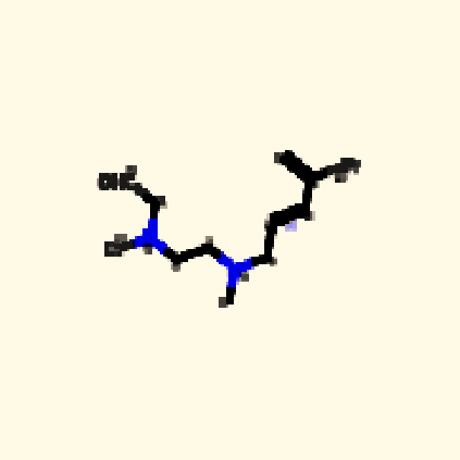 C=C(/C=C/CN(C)CCN(CC)CC=O)C(C)C